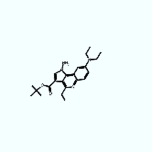 CCc1nc2ccc(N(CC)CC)cc2c2c1c(C(=O)OC(C)(C)C)cn2N